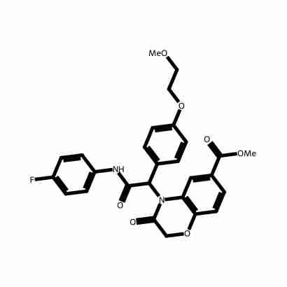 COCCOc1ccc(C(C(=O)Nc2ccc(F)cc2)N2C(=O)COc3ccc(C(=O)OC)cc32)cc1